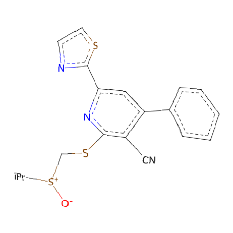 CC(C)[S+]([O-])CSc1nc(-c2nccs2)cc(-c2ccccc2)c1C#N